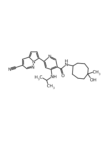 CC(C)Nc1cc(-c2ccc3cc(C#N)cnn23)ncc1C(=O)NC1CCCC(C)(O)CCC1